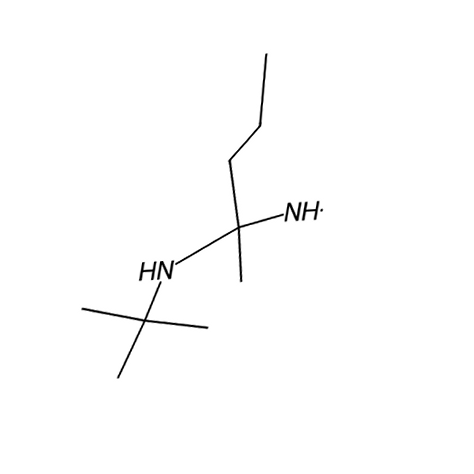 CCCC(C)([NH])NC(C)(C)C